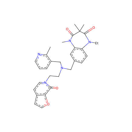 CCN1C(=O)C(C)(C)C(=O)N(C)c2cc(CN(CCn3ccc4ccoc4c3=O)Cc3cccnc3C)ccc21